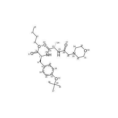 CCCCOC(=O)[C@H](Cc1ccc(OC(C)(C)C)cc1)NC(=O)[C@H](C)NC(=O)CN1CCOCC1